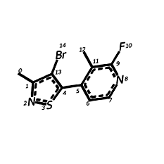 Cc1nsc(-c2ccnc(F)c2C)c1Br